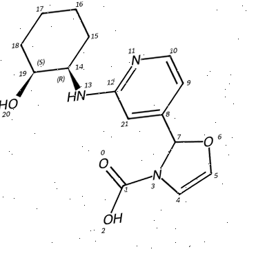 O=C(O)N1C=COC1c1ccnc(N[C@@H]2CCCC[C@@H]2O)c1